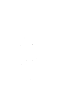 CCCCCOC(=O)C1CCn2c(C(=O)c3cccc(C)c3)ccc21